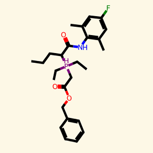 CCCC(C(=O)Nc1c(C)cc(F)cc1C)[PH](CC)(CC)CC(=O)OCc1ccccc1